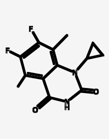 Cc1c(F)c(F)c(C)c2c1c(=O)[nH]c(=O)n2C1CC1